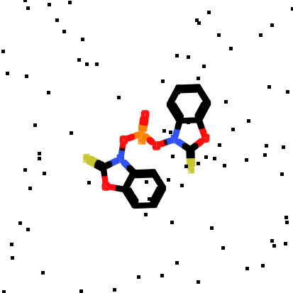 O=[PH](On1c(=S)oc2ccccc21)On1c(=S)oc2ccccc21